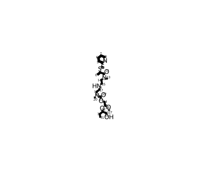 C=C(SSc1ccccn1)C(=O)N(C)CCNCCN(C)C(=O)OCC(OC)OC(CC)CO